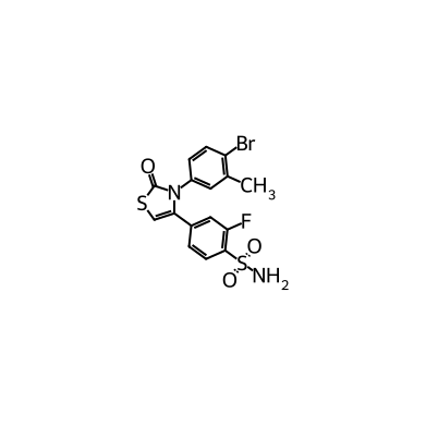 Cc1cc(-n2c(-c3ccc(S(N)(=O)=O)c(F)c3)csc2=O)ccc1Br